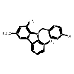 CCOC(=O)c1cc(C)c2c(c1)c1cccc(C)c1n2Cc1ccc(Br)cc1